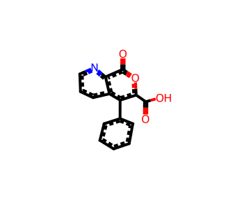 O=C(O)c1oc(=O)c2ncccc2c1-c1ccccc1